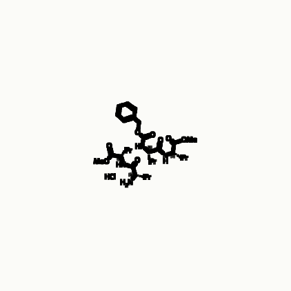 COC(=O)[C@@H](NC(=O)[C@@H](N)C(C)C)C(C)C.COC(=O)[C@@H](NC(=O)[C@@H](NC(=O)OCc1ccccc1)C(C)C)C(C)C.Cl